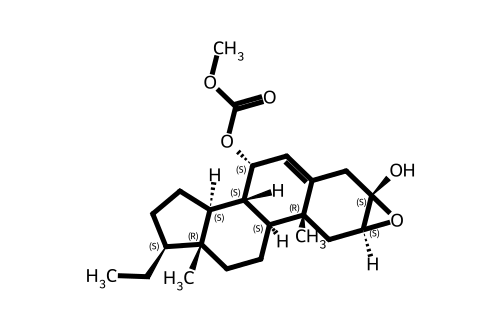 CC[C@H]1CC[C@H]2[C@@H]3[C@H](OC(=O)OC)C=C4C[C@]5(O)O[C@H]5C[C@]4(C)[C@H]3CC[C@]12C